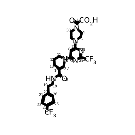 O=C(O)C(=O)N1CCN(c2cc(N3CCCC(C(=O)NCCc4ccc(C(F)(F)F)cc4)C3)nc(C(F)(F)F)n2)CC1